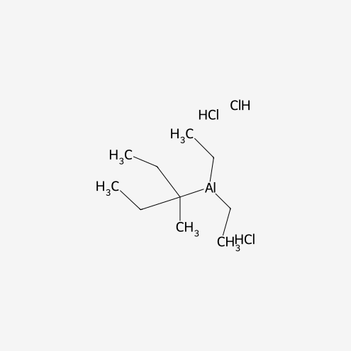 C[CH2][Al]([CH2]C)[C](C)(CC)CC.Cl.Cl.Cl